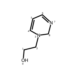 OCCN1C=CC=NC1